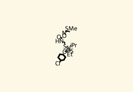 CCP(=S)(Oc1ccc(Cl)cc1)N(SCNC(=O)ON=C(C)SC)C(C)C